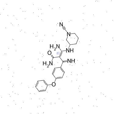 N#CN1CCCC(N/C(N)=C(\C(=N)c2ccc(Oc3ccccc3)cc2)C(N)=O)C1